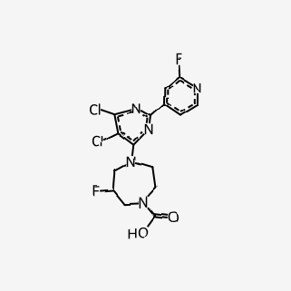 O=C(O)N1CCN(c2nc(-c3ccnc(F)c3)nc(Cl)c2Cl)CC(F)C1